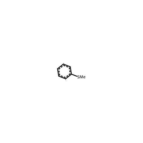 CSc1[c]cc[c]c1